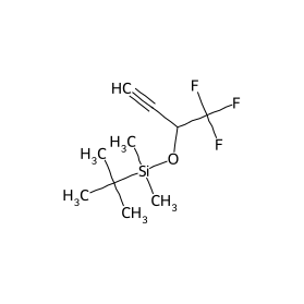 C#CC(O[Si](C)(C)C(C)(C)C)C(F)(F)F